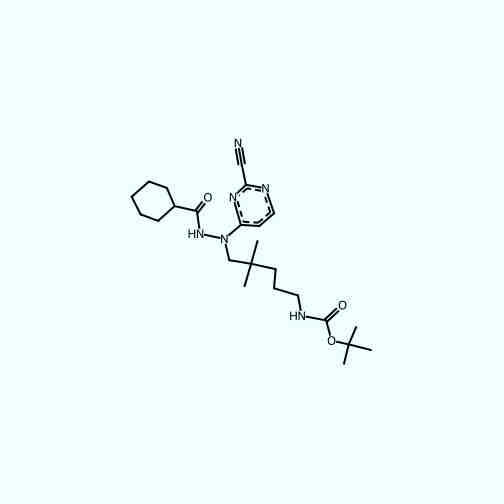 CC(C)(CCCNC(=O)OC(C)(C)C)CN(NC(=O)C1CCCCC1)c1ccnc(C#N)n1